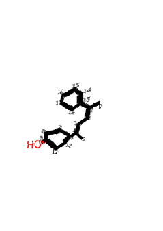 CC(=CC=C(C)c1ccc(O)cc1)c1ccccc1